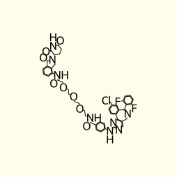 O=C1CCC(N2Cc3c(NC(=O)COCCOCCOCCNC(=O)c4ccc(Nc5ncc6c(n5)-c5ccc(Cl)cc5C(c5c(F)cccc5F)=NC6)cc4)cccc3C2=O)C(=O)N1